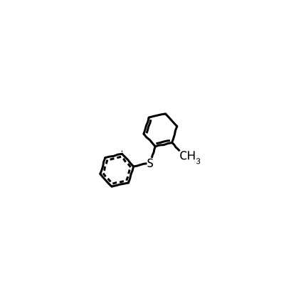 CC1=C(Sc2[c]cccc2)C=CCC1